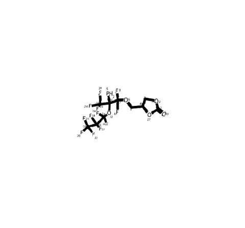 O=C1OCC(COC(F)(F)C(P)(OC(F)(F)C(F)(F)C(F)(F)F)C(F)(F)F)O1